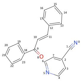 N#Cc1ccncc1.O=C(C=Cc1ccccc1)c1ccccc1